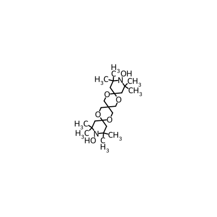 CC1(C)CC2(CC(C)(C)N1O)OCC1(CO2)COC2(CC(C)(C)N(O)C(C)(C)C2)OC1